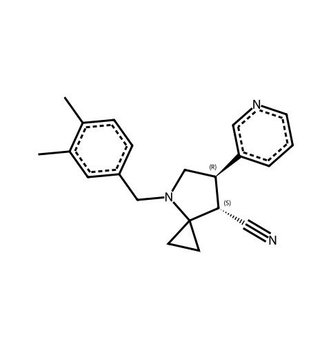 Cc1ccc(CN2C[C@@H](c3cccnc3)[C@H](C#N)C23CC3)cc1C